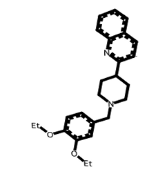 CCOc1ccc(CN2CCC(c3[c]cc4ccccc4n3)CC2)cc1OCC